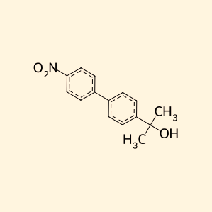 CC(C)(O)c1ccc(-c2ccc([N+](=O)[O-])cc2)cc1